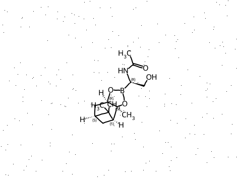 CC(=O)N[C@@H](CO)B1O[C@@H]2C[C@@H]3C[C@@H](C3(C)C)[C@]2(C)O1